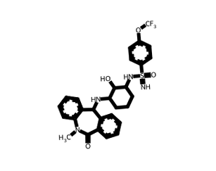 CN1C(=O)c2ccccc2C(NC2CCCC(NS(=N)(=O)c3ccc(OC(F)(F)F)cc3)C2O)c2ccccc21